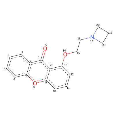 O=c1c2ccccc2oc2cccc(OCCN3CCC3)c12